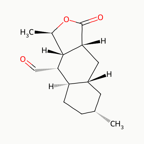 C[C@@H]1CC[C@@H]2[C@@H](C1)C[C@H]1C(=O)O[C@H](C)[C@H]1[C@H]2C=O